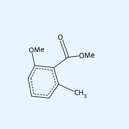 COC(=O)c1c(C)cccc1OC